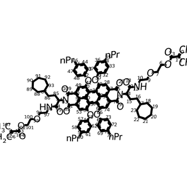 C=C(C)C(=O)OCCOCCNC(=O)C(CCC1CCCCCC1)N1C(=O)c2cc(Oc3ccc(CCC)cc3)c3c4c(Oc5ccc(CCC)cc5)cc5c6c(cc(Oc7ccc(CCC)cc7)c(c7c(Oc8ccc(CCC)cc8)cc(c2c37)C1=O)c64)C(=O)N(C(CCC1CCCCCC1)C(=O)NCCOCCOC(=O)C(=C)C)C5=O